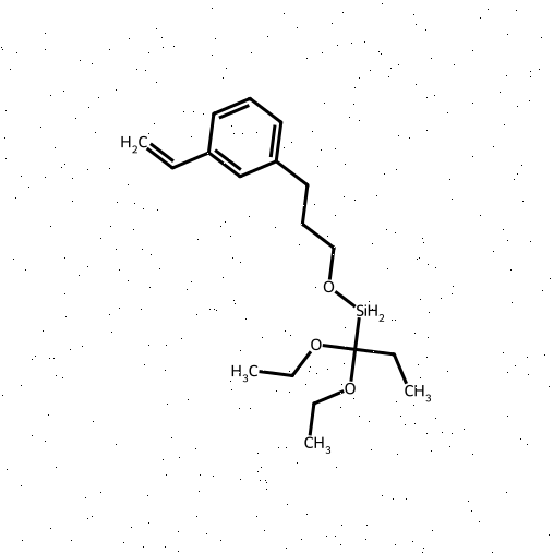 C=Cc1cccc(CCCO[SiH2]C(CC)(OCC)OCC)c1